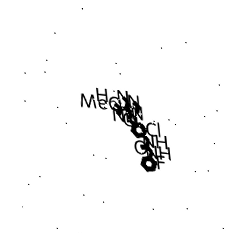 COC(=N)c1c(N)ncnc1Oc1ccc(NC(=O)Nc2ccccc2F)c(Cl)c1